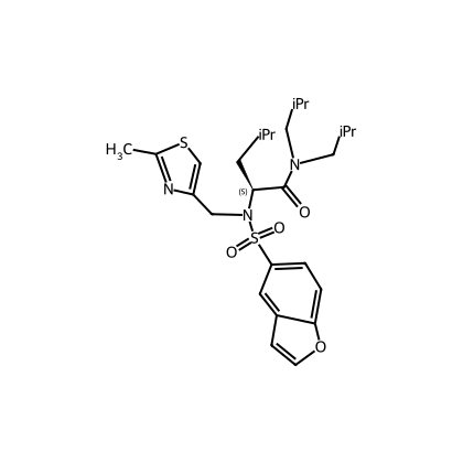 Cc1nc(CN([C@@H](CC(C)C)C(=O)N(CC(C)C)CC(C)C)S(=O)(=O)c2ccc3occc3c2)cs1